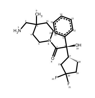 CC1(CN)CCN(C(=O)[C@](O)(c2ccccc2)[C@@H]2CCC(F)(F)C2)CC1